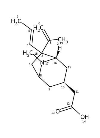 C=C(C)C1(/C=C/C)CC2C[C@H](CC(=O)O)C[C@@H]1N2C